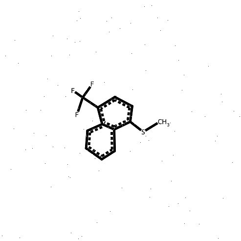 CSc1ccc(C(F)(F)F)c2ccccc12